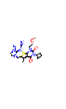 COCCn1c(=O)n(C2CCC2)c(=O)c2c(C)c(CN3CCN/C3=N\C#N)sc21